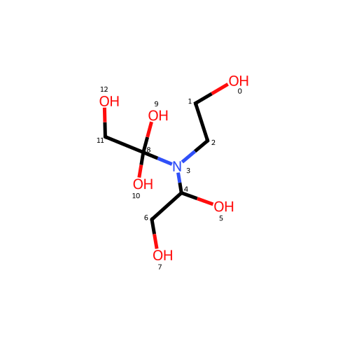 OCCN(C(O)CO)C(O)(O)CO